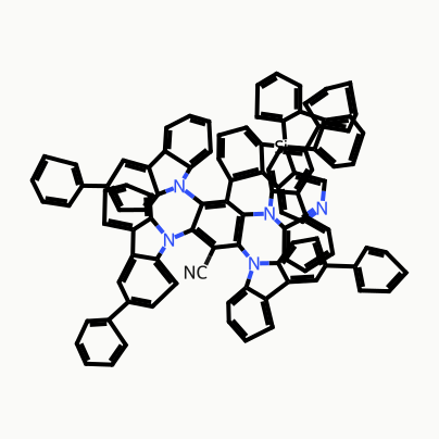 N#Cc1c(-n2c3ccccc3c3cc(-c4ccccc4)ccc32)c(-n2c3ccccc3c3cc(-c4ccccc4)ccc32)c(-c2cccc3c2-c2ccncc2[Si]32c3ccccc3-c3ccccc32)c(-n2c3ccccc3c3cc(-c4ccccc4)ccc32)c1-n1c2ccccc2c2cc(-c3ccccc3)ccc21